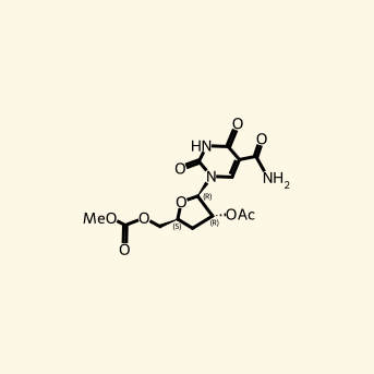 COC(=O)OC[C@@H]1C[C@@H](OC(C)=O)[C@H](n2cc(C(N)=O)c(=O)[nH]c2=O)O1